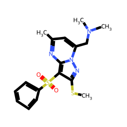 CSc1nn2c(CN(C)C)cc(C)nc2c1S(=O)(=O)c1ccccc1